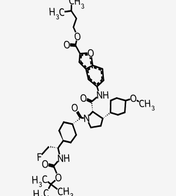 COC1CCC([C@@H]2CCN(C(=O)[C@H]3CC[C@H]([C@@H](CF)NC(=O)OC(C)(C)C)CC3)[C@@H]2C(=O)Nc2ccc3oc(C(=O)OCCC(C)C)cc3c2)CC1